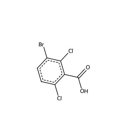 O=C(O)c1c(Cl)ccc(Br)c1Cl